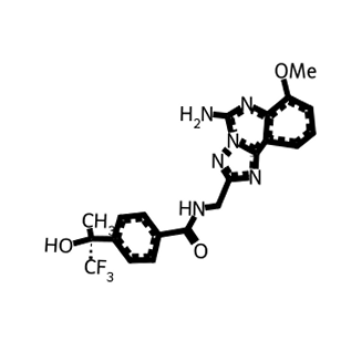 COc1cccc2c1nc(N)n1nc(CNC(=O)c3ccc([C@](C)(O)C(F)(F)F)cc3)nc21